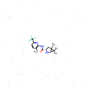 [2H]C1([2H])C2N[C@H](C(=O)Nc3nc(C(F)(F)F)ccc3C)CC21C